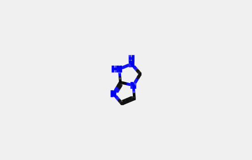 c1cn2c(n1)NNC2